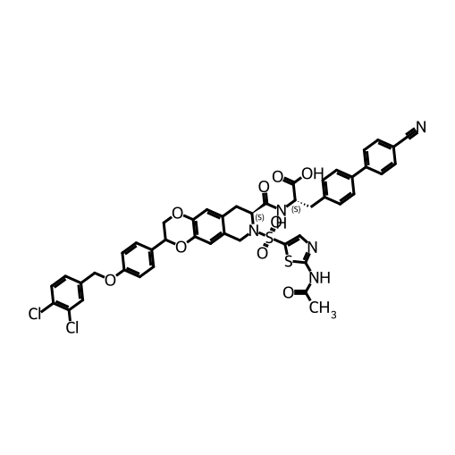 CC(=O)Nc1ncc(S(=O)(=O)N2Cc3cc4c(cc3C[C@H]2C(=O)N[C@@H](Cc2ccc(-c3ccc(C#N)cc3)cc2)C(=O)O)OCC(c2ccc(OCc3ccc(Cl)c(Cl)c3)cc2)O4)s1